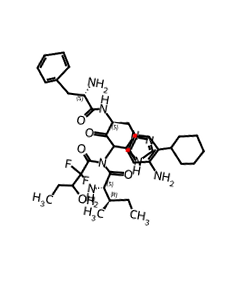 CCC(O)C(F)(F)C(=O)N(C(=O)[C@@H](N)[C@H](C)CC)C(C(=O)[C@H](Cc1c[nH]cn1)NC(=O)[C@@H](N)Cc1ccccc1)c1cc(N)c(C2CCCCC2)cn1